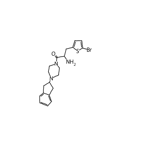 NC(Cc1ccc(Br)s1)C(=O)N1CCN(C2Cc3ccccc3C2)CC1